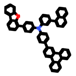 c1cc(-c2cccc3ccccc23)cc(N(c2ccc(-c3ccc4c5ccccc5c5ccccc5c4c3)cc2)c2ccc(-c3cccc4c3oc3ccccc34)cc2)c1